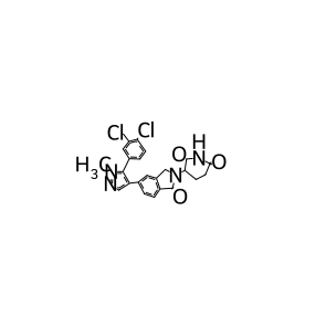 Cn1ncc(-c2ccc3c(c2)CN(C2CCC(=O)NC2=O)C3=O)c1-c1ccc(Cl)c(Cl)c1